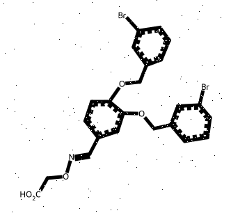 O=C(O)CON=Cc1ccc(OCc2cccc(Br)c2)c(OCc2cccc(Br)c2)c1